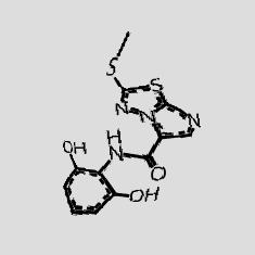 CSc1nn2c(C(=O)Nc3c(O)cccc3O)cnc2s1